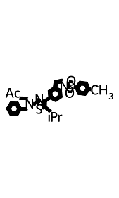 CC(=O)CCN(Cc1ccccc1)c1nc(-c2ccc3c(ccn3S(=O)(=O)c3ccc(C)cc3)c2)c(CC(C)C)s1